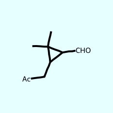 CC(=O)CC1C(C=O)C1(C)C